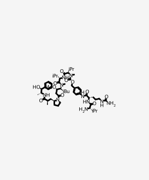 CC[C@H](C)[C@@H]([C@@H](CC(=O)N1CCC[C@H]1C[C@@H](C)C(=O)N[C@H](C)[C@@H](O)c1ccccc1)OC)N(C)C(=O)[C@@H](NC(=O)[C@H](C(C)C)N(C)C(=O)OCc1ccc(NC(=O)[C@H](CCCNC(N)=O)NC(=O)[C@@H](N)C(C)C)cc1)C(C)C